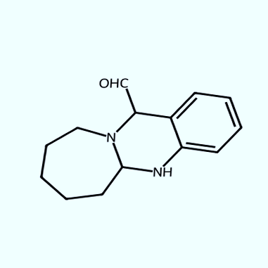 O=CC1c2ccccc2NC2CCCCCN21